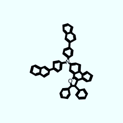 c1ccc(C2Oc3c(c4ccccc4c4ccc(N(c5ccc(-c6ccc7ccccc7c6)cc5)c5ccc(-c6ccc7ccccc7c6)cc5)cc34)C2c2ccccc2)cc1